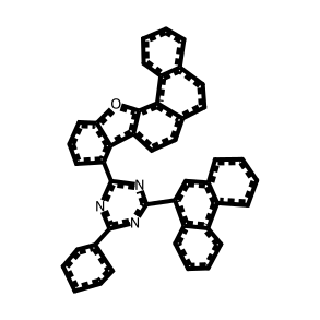 c1ccc(-c2nc(-c3cc4ccccc4c4ccccc34)nc(-c3cccc4oc5c(ccc6ccc7ccccc7c65)c34)n2)cc1